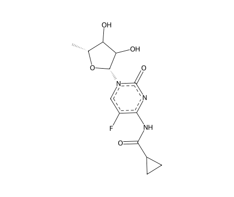 C[C@H]1O[C@@H](n2cc(F)c(NC(=O)C3CC3)nc2=O)C(O)C1O